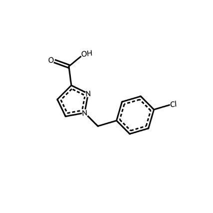 O=C(O)c1ccn(Cc2ccc(Cl)cc2)n1